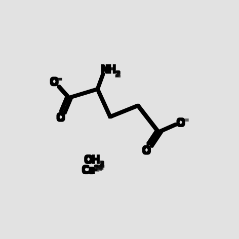 NC(CCC(=O)[O-])C(=O)[O-].O.[Ca+2]